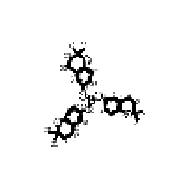 CC1(C)CCc2cc(OB(Oc3ccc4c(c3)CCC(C)(C)O4)Oc3ccc4c(c3)CCC(C)(C)O4)ccc2O1